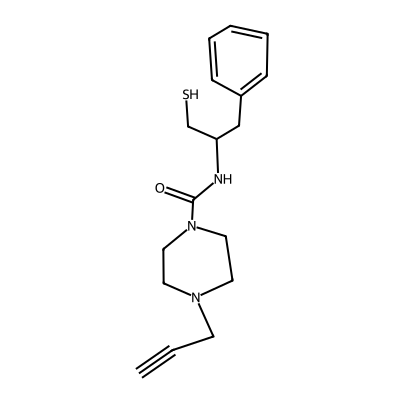 C#CCN1CCN(C(=O)NC(CS)Cc2ccccc2)CC1